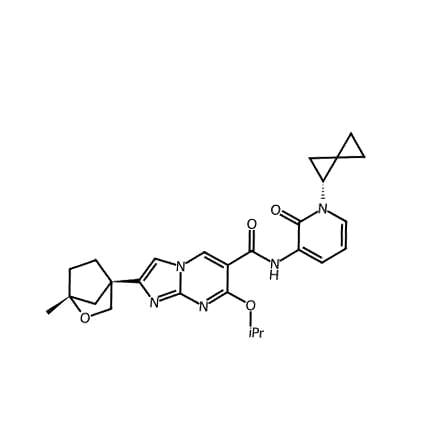 CC(C)Oc1nc2nc([C@]34CC[C@](C)(C3)OC4)cn2cc1C(=O)Nc1cccn([C@@H]2CC23CC3)c1=O